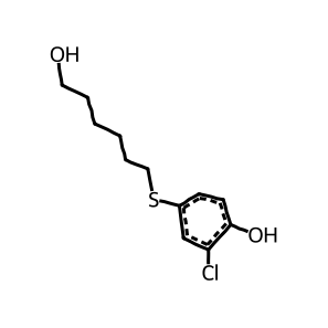 OCCCCCCSc1ccc(O)c(Cl)c1